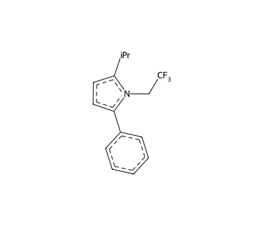 CC(C)c1ccc(-c2ccccc2)n1CC(F)(F)F